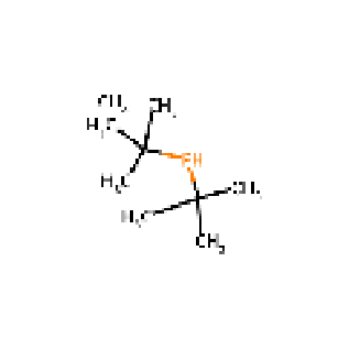 C.CC(C)(C)PC(C)(C)C